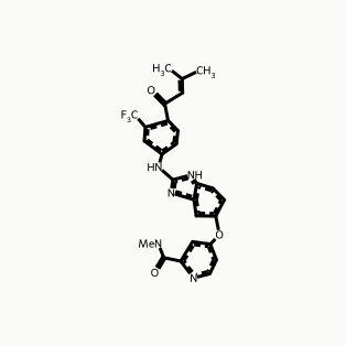 CNC(=O)c1cc(Oc2ccc3[nH]c(Nc4ccc(C(=O)C=C(C)C)c(C(F)(F)F)c4)nc3c2)ccn1